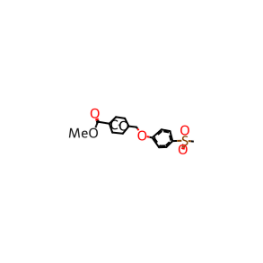 COC(=O)C12CCC(COc3ccc(S(C)(=O)=O)cc3)(CC1)CC2